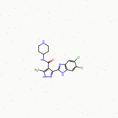 Cc1[nH]nc(-c2nc3cc(Cl)c(Cl)cc3[nH]2)c1C(=O)NC1CCNCC1